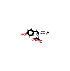 O=C(O)[C@@H](Cc1ccc(O)cc1)n1c(=O)c1=O